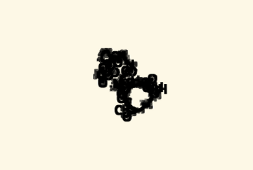 COc1cc2cc(c1Cl)CC(=O)C[C@H](OC(=O)[C@H](C)N(C)C(=O)CCOC(=O)N(C)CCN(C)C(=O)OC1/C=C/CCCCC1OCC(=O)OC1C(=O)CCC1=O)[C@]1(C)O[C@H]1[C@H](C)[C@@H]1C[C@@](O)(NC(=O)O1)[C@H](OC)/C=C/C=C(\C)C2